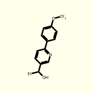 CCC(O)c1ccc(-c2ccc(OC(F)(F)F)cc2)nc1